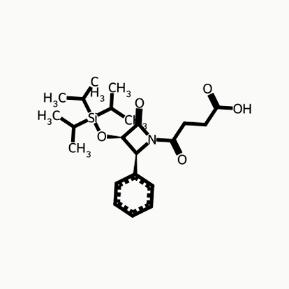 CC(C)[Si](O[C@H]1C(=O)N(C(=O)CCC(=O)O)[C@H]1c1ccccc1)(C(C)C)C(C)C